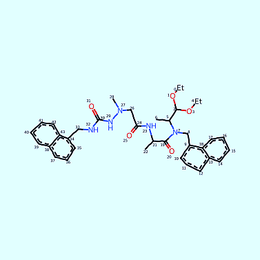 CCOC(OCC)C(C)N(Cc1cccc2ccccc12)C(=O)C(C)NC(=O)CN(C)NC(=O)NCc1cccc2ccccc12